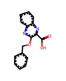 O=C(O)c1nc2ccccc2nc1OCc1ccccc1